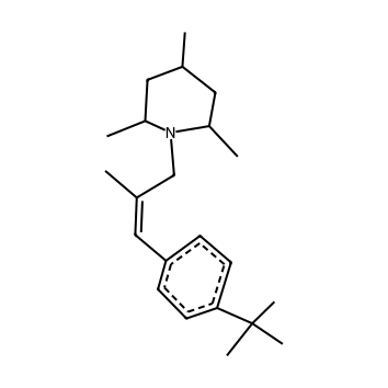 CC(=Cc1ccc(C(C)(C)C)cc1)CN1C(C)CC(C)CC1C